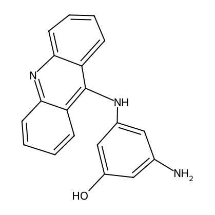 Nc1cc(O)cc(Nc2c3ccccc3nc3ccccc23)c1